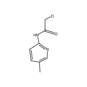 Cc1ccc(NC(=O)CCl)nc1